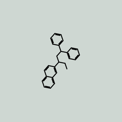 CCC(CC(c1ccccc1)c1ccccc1)c1ccc2ccccc2c1